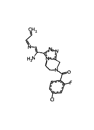 C=C/C=N\C=C(/N)c1nnc2n1CCN(C(=O)c1ccc(Cl)cc1F)C2